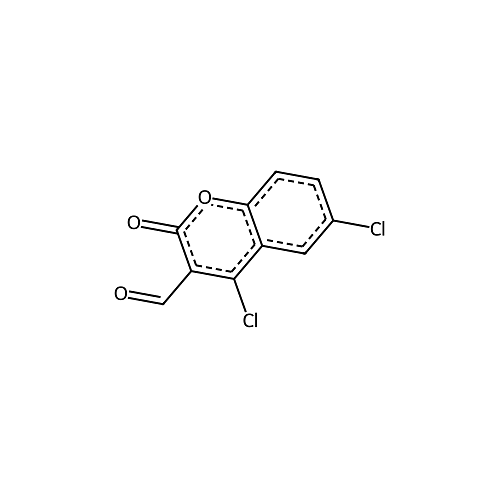 O=Cc1c(Cl)c2cc(Cl)ccc2oc1=O